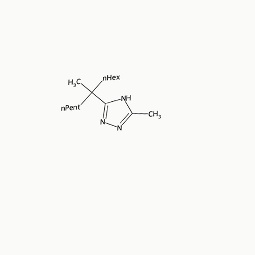 CCCCCCC(C)(CCCCC)c1nnc(C)[nH]1